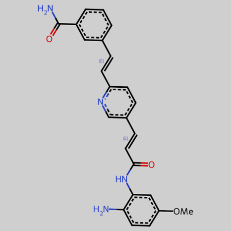 COc1ccc(N)c(NC(=O)/C=C/c2ccc(/C=C/c3cccc(C(N)=O)c3)nc2)c1